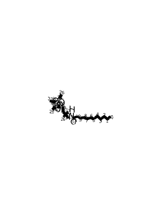 CCCCCCCC[CH]CCC(=O)NCC(C)(C)CC[Si](OCC)(OCC)OCC